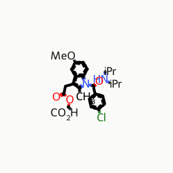 CC(C)NC(C)C.COc1ccc2c(c1)c(CC(=O)OCC(=O)O)c(C)n2C(=O)c1ccc(Cl)cc1